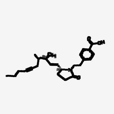 CCCC#CCC(C)[C@@H](O)C=C[C@H]1CCC(=O)N1CCc1ccc(C(=O)O)cc1